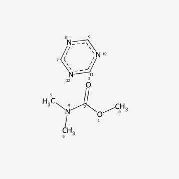 COC(=O)N(C)C.c1ncncn1